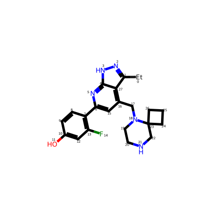 CCc1n[nH]c2nc(-c3ccc(O)cc3F)cc(CN3CCNCC34CCC4)c12